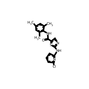 Cc1cc(C)c(NC(=O)c2cnc(Nc3cccc(Cl)n3)s2)c(C)c1